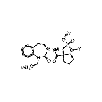 CC(C)OP(=O)(CC1(C(=O)N[C@H]2CCc3ccccc3N(CC(=O)O)C2=O)CCCC1)OC(C)C